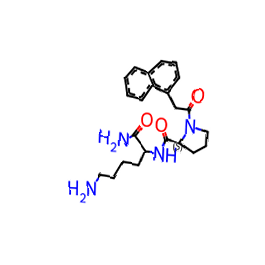 NCCCCC(NC(=O)[C@@H]1CCCN1C(=O)Cc1cccc2ccccc12)C(N)=O